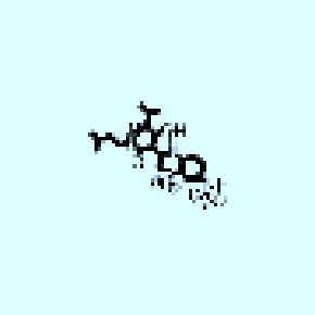 CC(C)CCn1nc(C(C)C)c(O)c(C2=CS(=O)(=O)c3cc(NS(C)(=O)=O)ccc3N2)c1=O